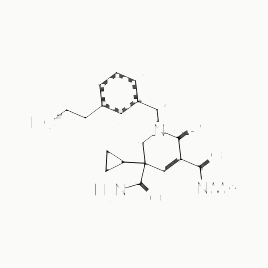 CNC(=O)C1=CC(C(N)=O)(C2CC2)CN(Cc2cccc(CCO)c2)C1=O